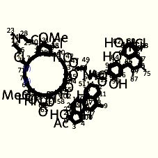 CC(=O)[C@@]1(O)CC[C@H]2[C@@H]3C=C(C)C4=CC(=O)CC[C@]4(C)[C@H]3CC[C@@]21C.CN(CCCl)CCCl.COc1cc2cc(c1Cl)N(C)C(=O)C[C@H](OC(=O)[C@H](C)N(C)C(C)=O)[C@]1(C)O[C@H]1[C@H](C)[C@@H]1C[C@@](O)(NC(=O)O1)[C@H](OC)/C=C\C=C(\C)C2.C[C@H](Cc1ccc(O)c(O)c1)[C@@H](C)Cc1ccc(O)c(O)c1.Cl.Cl